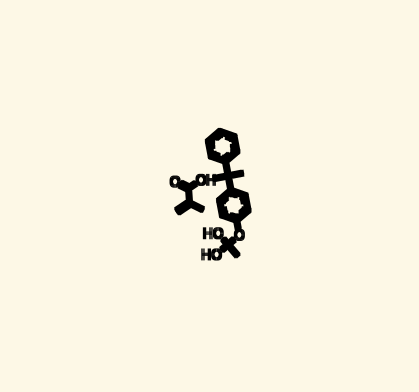 C=C(C)C(=O)O.CC(O)(O)Oc1ccc(C(C)(C)c2ccccc2)cc1